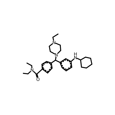 CCN1CCN(C(c2ccc(C(=O)N(CC)CC)cc2)c2cccc(NC3CCCCC3)c2)CC1